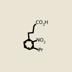 CC(C)c1cccc(CCCC(=O)O)c1[N+](=O)[O-]